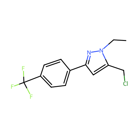 CCn1nc(-c2ccc(C(F)(F)F)cc2)cc1CCl